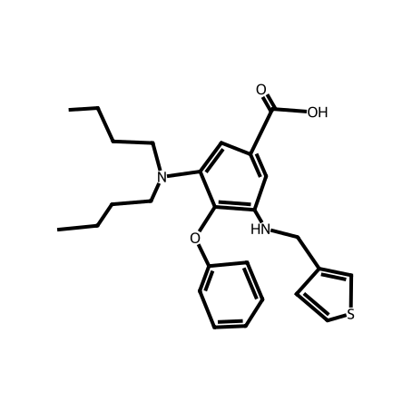 CCCCN(CCCC)c1cc(C(=O)O)cc(NCc2ccsc2)c1Oc1ccccc1